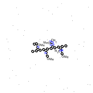 COc1ccc(C2=Nc3c(c4cc(-c5ccc6c7ccc(-c8ccc9c%10ccc(-c%11ccccc%11)cc%10c%10nc(-c%11ccc(OC)cc%11)n(C)c%10c9c8)cc7c7nc8nc(C)nc(OC)c8nc7c6c5)ccc4c4ccc(-c5ccc6c(c5)c5c(c7cc(-c8ccccc8)ccc76)CC(c6c(OC)ccc7ccccc67)=N5)cc34)C2)cc1